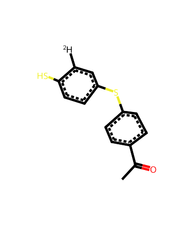 [2H]c1cc(Sc2ccc(C(C)=O)cc2)ccc1S